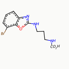 O=C(O)NCCCNc1nc2cccc(Br)c2o1